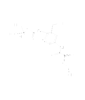 CCOC(=O)C(=O)Nc1cnc(NC(=O)OC(C)(C)C)c(CC)c1